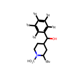 [2H]c1c([2H])c([2H])c(C(O)C2CCN(C(=O)O)C(C(C)(C)C)C2)c([2H])c1[2H]